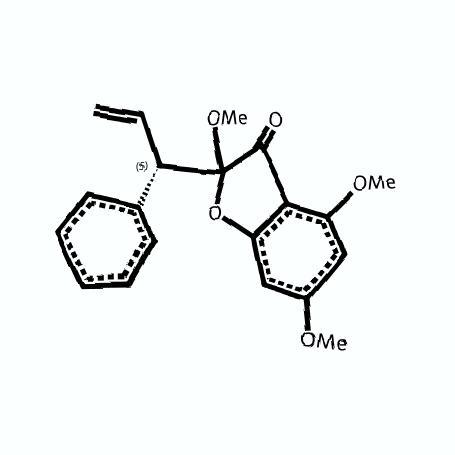 C=C[C@@H](c1ccccc1)C1(OC)Oc2cc(OC)cc(OC)c2C1=O